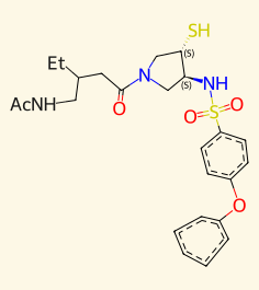 CCC(CNC(C)=O)CC(=O)N1C[C@H](NS(=O)(=O)c2ccc(Oc3ccccc3)cc2)[C@@H](S)C1